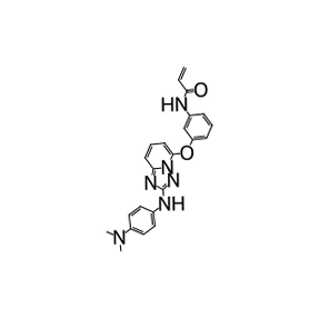 C=CC(=O)Nc1cccc(Oc2cccc3nc(Nc4ccc(N(C)C)cc4)nn23)c1